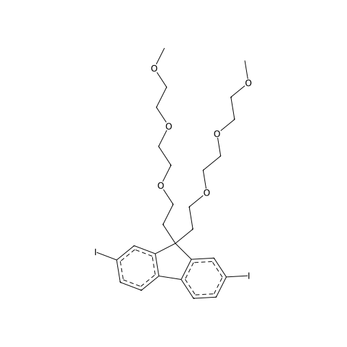 COCCOCCOCCC1(CCOCCOCCOC)c2cc(I)ccc2-c2ccc(I)cc21